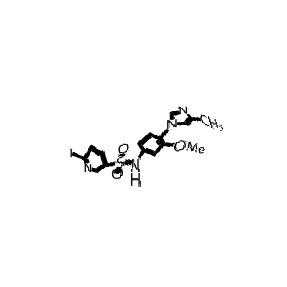 COc1cc(NS(=O)(=O)c2ccc(I)nc2)ccc1-n1cnc(C)c1